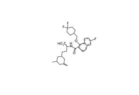 C=C1CC(C)CC(CC[C@H](NC(=O)c2ccc3cc(F)ccc3c2OCC2CCC(F)(F)CC2)C(=O)O)C1